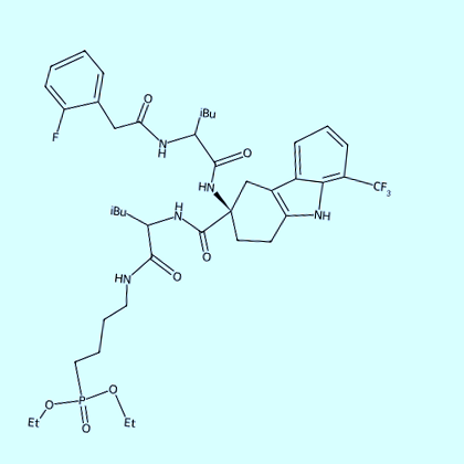 CCOP(=O)(CCCCNC(=O)C(NC(=O)[C@@]1(NC(=O)C(NC(=O)Cc2ccccc2F)C(C)CC)CCc2[nH]c3c(C(F)(F)F)cccc3c2C1)C(C)CC)OCC